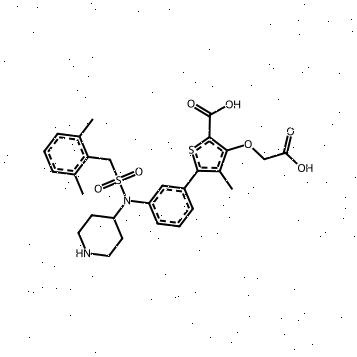 Cc1cccc(C)c1CS(=O)(=O)N(c1cccc(-c2sc(C(=O)O)c(OCC(=O)O)c2C)c1)C1CCNCC1